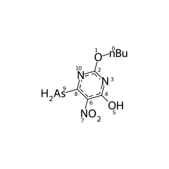 CCCCOc1nc(O)c([N+](=O)[O-])c([AsH2])n1